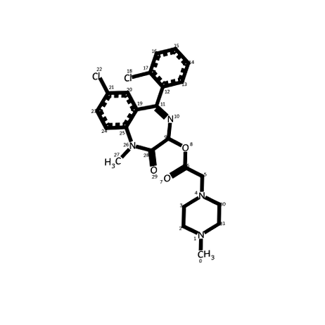 CN1CCN(CC(=O)OC2N=C(c3ccccc3Cl)c3cc(Cl)ccc3N(C)C2=O)CC1